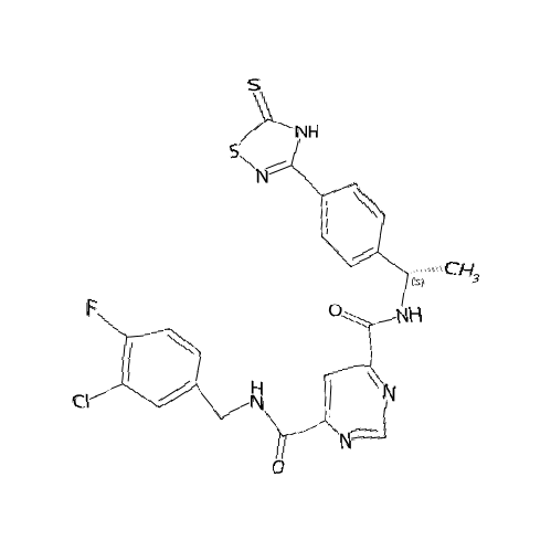 C[C@H](NC(=O)c1cc(C(=O)NCc2ccc(F)c(Cl)c2)ncn1)c1ccc(-c2nsc(=S)[nH]2)cc1